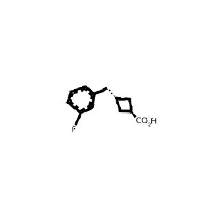 O=C(O)[C@H]1C[C@H](Cc2cc[c]c(F)c2)C1